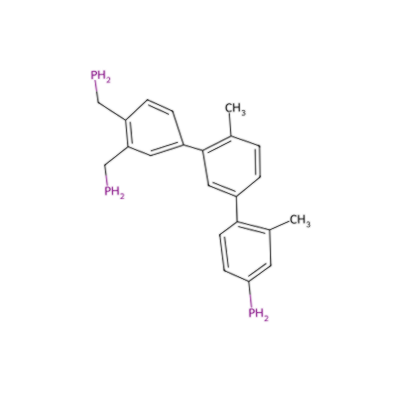 Cc1cc(P)ccc1-c1ccc(C)c(-c2ccc(CP)c(CP)c2)c1